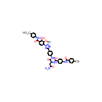 CC(C)Oc1c(-n2nnc(-c3ccc(NC(=O)C(CC(N)=O)NC(O)c4ccc(NC(=O)c5ccc(C#N)cc5)cc4)cc3)n2)ccc(C(=O)Nc2ccc(C(=O)O)cc2)c1O